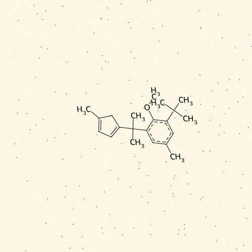 COc1c(C(C)(C)C)cc(C)cc1C(C)(C)C1=CC=C(C)C1